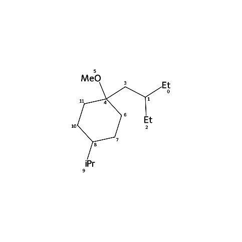 CCC(CC)CC1(OC)CCC(C(C)C)CC1